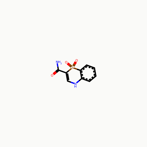 NC(=O)C1=CNc2ccccc2S1(=O)=O